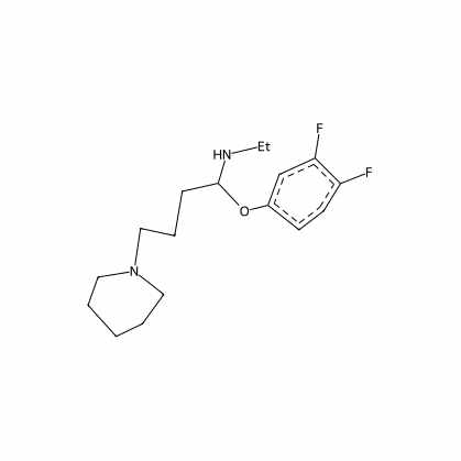 CCNC(CCCN1CCCCC1)Oc1ccc(F)c(F)c1